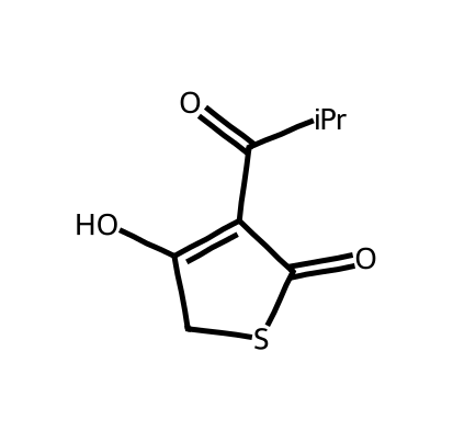 CC(C)C(=O)C1=C(O)CSC1=O